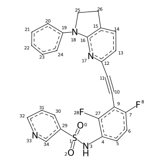 O=S(=O)(Nc1ccc(F)c(C#Cc2ccc3c(n2)N(c2ccccc2)CC3)c1F)c1cccnc1